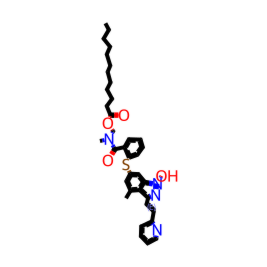 CCCCCCCCCCCC(=O)OCN(C)C(=O)c1ccccc1Sc1cc(C)c2c(/C=C/c3ccccn3)nn(O)c2c1